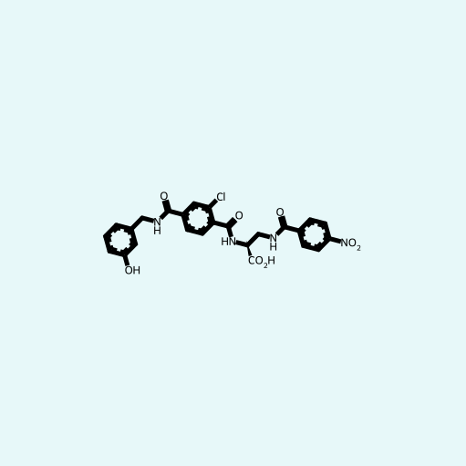 O=C(NCc1cccc(O)c1)c1ccc(C(=O)N[C@@H](CNC(=O)c2ccc([N+](=O)[O-])cc2)C(=O)O)c(Cl)c1